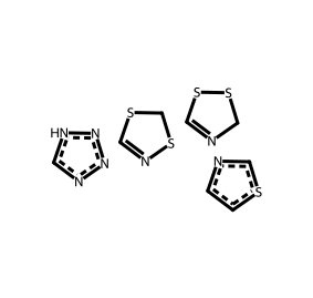 C1=NCSS1.C1=NSCS1.c1cscn1.c1nnn[nH]1